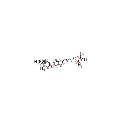 CC(C)(C)OC(=O)CCCNCc1ccc2cc(OC3CCC(C(C)(C)C)CC3)ccc2c1